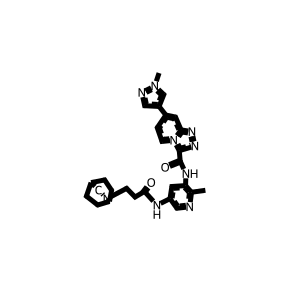 Cc1ncc(NC(=O)CCN2CC3CCC2CC3)cc1NC(=O)c1nnc2cc(-c3cnn(C)c3)ccn12